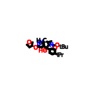 CC(C)c1ccc([C@@](O)(c2cnnc(O[C@H]3CCOC3)c2)C2C(C)CN2C(=O)OC(C)(C)C)cc1